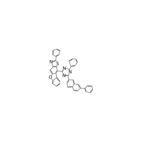 c1ccc(-c2ccc3ccc(-c4nc(-c5ccccc5)nc(-c5c6sc(-c7ccccc7)nc6cc6oc7ccccc7c56)n4)cc3c2)cc1